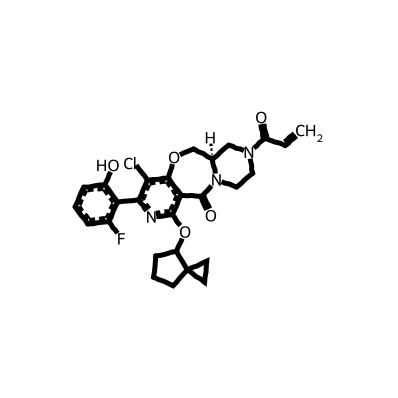 C=CC(=O)N1CCN2C(=O)c3c(OC4CCCC45CC5)nc(-c4c(O)cccc4F)c(Cl)c3OC[C@H]2C1